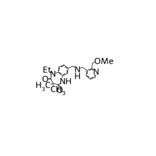 CCN1C(=O)C(C)(C)C(=O)Nc2cc(CNCc3cccnc3COC)ccc21